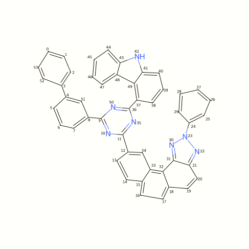 c1ccc(-c2cccc(-c3nc(-c4ccc5ccc6ccc7nn(-c8ccccc8)nc7c6c5c4)nc(-c4cccc5[nH]c6ccccc6c45)n3)c2)cc1